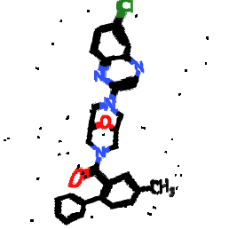 Cc1ccc(-c2ccccc2)c(C(=O)N2CC3CN(c4cnc5cc(Cl)ccc5n4)CC(C2)O3)c1